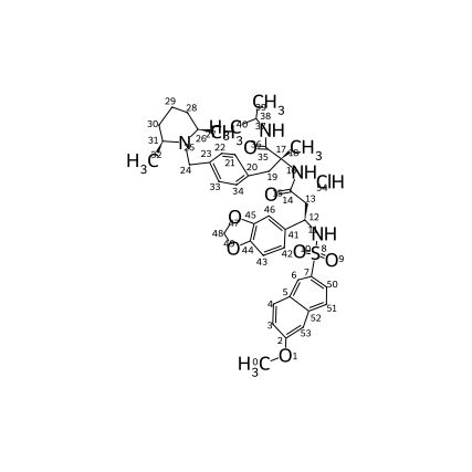 COc1ccc2cc(S(=O)(=O)N[C@H](CC(=O)N[C@](C)(Cc3ccc(CN4[C@H](C)CCC[C@@H]4C)cc3)C(=O)NC(C)C)c3ccc4c(c3)OCO4)ccc2c1.Cl